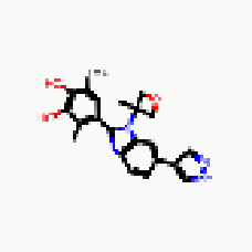 COc1cc(-c2nc3ccc(-c4cn[nH]c4)cc3n2C2(C)COC2)c(C)c(O)c1O